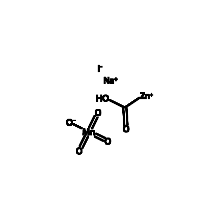 O=[C](O)[Zn+].[I-].[Na+].[O]=[Mn](=[O])(=[O])[O-]